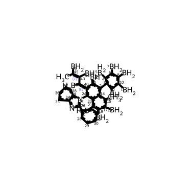 B=c1c(-c2c(B)c(B)c(B)c(B)c2B)c2c(C)c(B)c(B)c(B)c2c(-n2c(-c3ccccc3)nc3ccccc32)/c1=C(B)/C(B)=C(/B)C